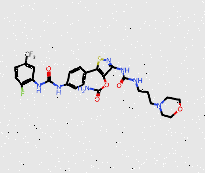 NC(=O)Oc1c(NC(=O)NCCCN2CCOCC2)nsc1-c1ccc(NC(=O)Nc2cc(C(F)(F)F)ccc2F)cc1